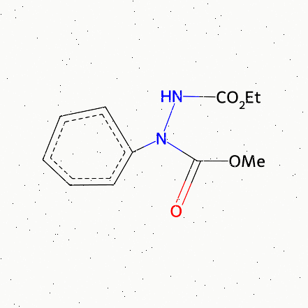 CCOC(=O)NN(C(=O)OC)c1ccccc1